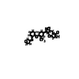 O=C1CNC(=O)N1Cc1nc(-c2ccc(Oc3ccccc3SC3CCOC3)c(C(F)(F)F)c2)no1